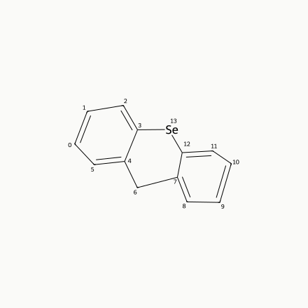 c1ccc2c(c1)Cc1ccccc1[Se]2